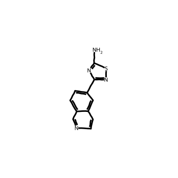 Nc1nc(-c2ccc3cnccc3c2)ns1